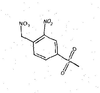 CS(=O)(=O)c1ccc(C[N+](=O)[O-])c([N+](=O)[O-])c1